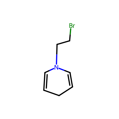 BrCCN1C=CCC=C1